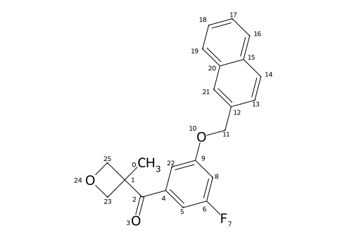 CC1(C(=O)c2cc(F)cc(OCc3ccc4ccccc4c3)c2)COC1